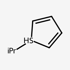 [CH2]C(C)[SH]1C=CC=C1